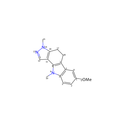 COc1ccc2c(c1)c1c(n2C)-c2cnn(C)c2CC1